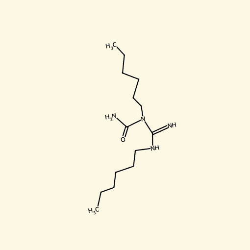 CCCCCCNC(=N)N(CCCCCC)C(N)=O